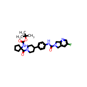 CC(C)(C)OC(=O)NC1(C(=O)N2CCC(c3ccc(NC(=O)N4Cc5cc(F)cnc5C4)cc3)CC2)CCCC1